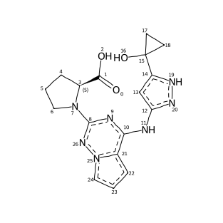 O=C(O)[C@@H]1CCCN1c1nc(Nc2cc(C3(O)CC3)[nH]n2)c2cccn2n1